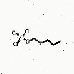 CCCCC[O][Zr]([Cl])([Cl])[Cl]